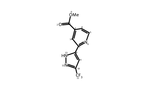 COC(=O)c1ccnc(-c2cc(C(F)(F)F)n[nH]2)c1